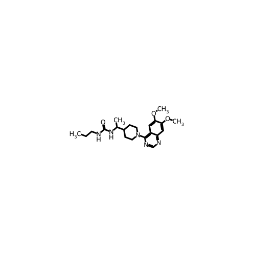 CCCNC(=O)NC(C)C1CCN(c2ncnc3cc(OC)c(OC)cc23)CC1